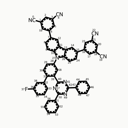 N#Cc1cc(C#N)cc(-c2ccc3c(c2)c2cc(-c4cc(C#N)cc(C#N)c4)ccc2n3-c2ccc(-c3cccc(F)c3)c(-c3nc(-c4ccccc4)nc(-c4ccccc4)n3)c2)c1